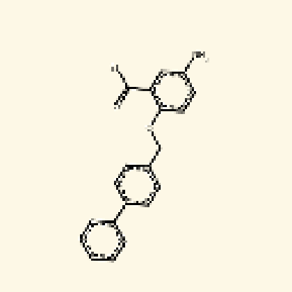 CCC(=O)c1cc(N)ccc1OCc1ccc(-c2ccccc2)cc1